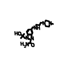 CN1CCN(CCCNCc2ccc3c(c2)nc(C(N)=O)n3CC(C)(C)O)CC1